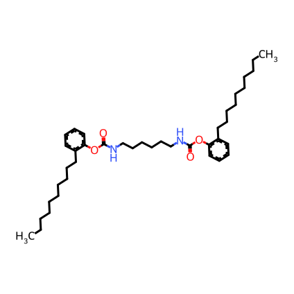 CCCCCCCCCCc1ccccc1OC(=O)NCCCCCCNC(=O)Oc1ccccc1CCCCCCCCCC